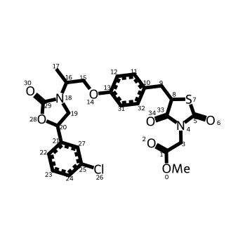 COC(=O)CN1C(=O)SC(Cc2ccc(OCC(C)N3CC(c4cccc(Cl)c4)OC3=O)cc2)C1=O